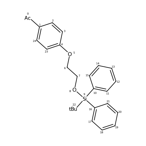 CC(=O)c1ccc(OCCO[Si](c2ccccc2)(c2ccccc2)C(C)(C)C)cc1